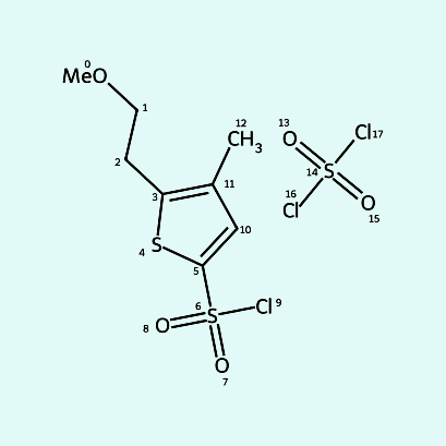 COCCc1sc(S(=O)(=O)Cl)cc1C.O=S(=O)(Cl)Cl